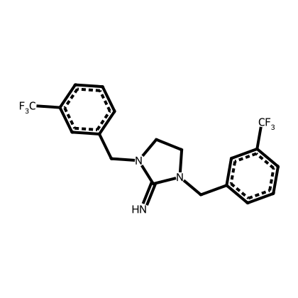 N=C1N(Cc2cccc(C(F)(F)F)c2)CCN1Cc1cccc(C(F)(F)F)c1